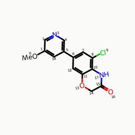 COc1cncc(-c2cc(Cl)c3c(c2)OCC(=O)N3)c1